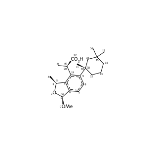 CO[C@H]1O[C@@H](C)c2c1ccc([C@@]1(C)CCCC(C)(C)C1)c2[C@@H](C)C(=O)O